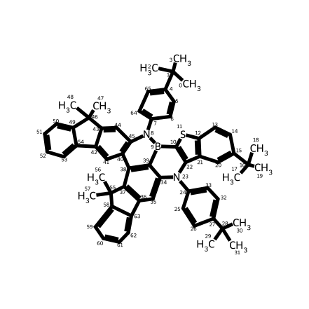 CC(C)(C)c1ccc(N2B3c4sc5ccc(C(C)(C)C)cc5c4N(c4ccc(C(C)(C)C)cc4)c4cc5c(c(c43)-c3cc4c(cc32)C(C)(C)c2ccccc2-4)C(C)(C)c2ccccc2-5)cc1